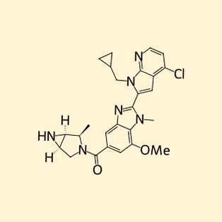 COc1cc(C(=O)N2C[C@H]3N[C@H]3[C@H]2C)cc2nc(-c3cc4c(Cl)ccnc4n3CC3CC3)n(C)c12